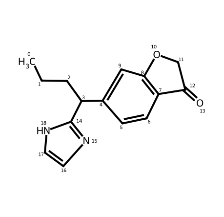 CCCC(c1ccc2c(c1)OCC2=O)c1ncc[nH]1